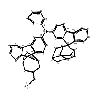 CCC1CC2CCCC(C1)C21c2ccccc2-c2cc(N(c3ccccc3)c3ccc4c(c3)C3(c5ccccc5-4)C4CC5CC(C4)CC3C5)ccc21